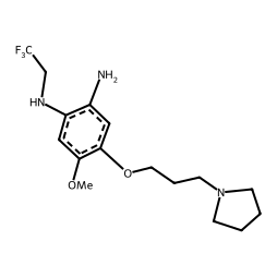 COc1cc(NCC(F)(F)F)c(N)cc1OCCCN1CCCC1